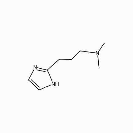 CN(C)CCCc1ncc[nH]1